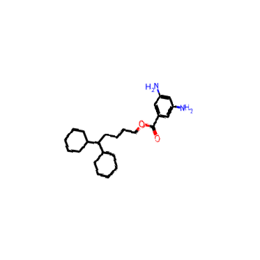 Nc1cc(N)cc(C(=O)OCCCCC(C2CCCCC2)C2CCCCC2)c1